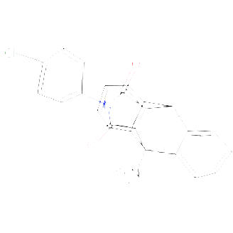 O=C1C2=C(C(=O)N1c1ccc(Cl)cc1)C1([N+](=O)[O-])c3ccccc3C2c2ccccc21